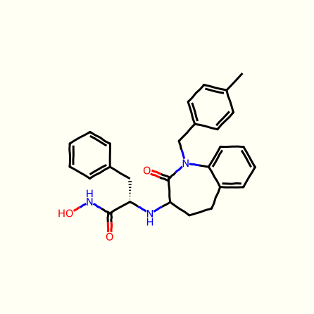 Cc1ccc(CN2C(=O)C(N[C@@H](Cc3ccccc3)C(=O)NO)CCc3ccccc32)cc1